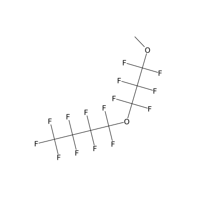 COC(F)(F)C(F)(F)C(F)(F)OC(F)(F)C(F)(F)C(F)(F)C(F)(F)F